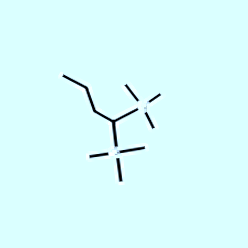 CCC[C]([Si](C)(C)C)[Si](C)(C)C